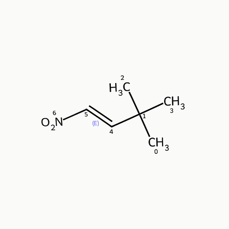 CC(C)(C)/C=C/[N+](=O)[O-]